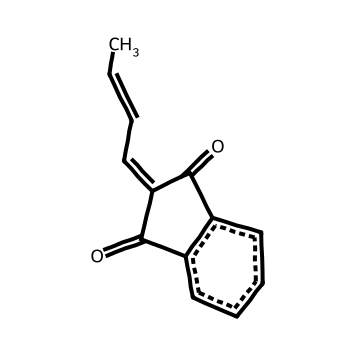 C/C=C/C=C1C(=O)c2ccccc2C1=O